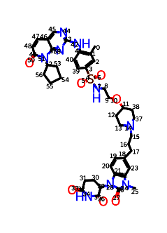 Cc1cc(S(=O)(=O)NCCOC2CCN(CCCc3ccc4c(c3)n(C)c(=O)n4C3CCC(=O)NC3=O)CC2)ccc1Nc1ncc2ccc(=O)n(C3CCCC3)c2n1